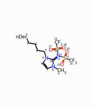 CCCCCCCCCCCCCCn1ccn(C)c1=[N+](S(=O)(=O)C(F)(F)F)S(=O)(=O)C(F)(F)F